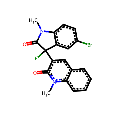 CN1C(=O)C(F)(c2cc3ccccc3n(C)c2=O)c2cc(Br)ccc21